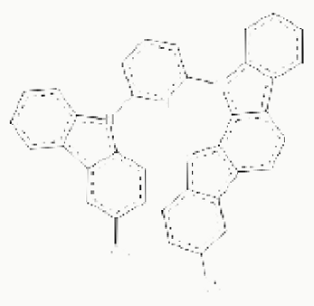 N#Cc1ccc2sc3c(ccc4c5ccccc5n(-c5cccc(-n6c7ccccc7c7cc(C#N)ccc76)n5)c43)c2c1